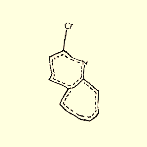 [Cr][c]1ccc2ccccc2n1